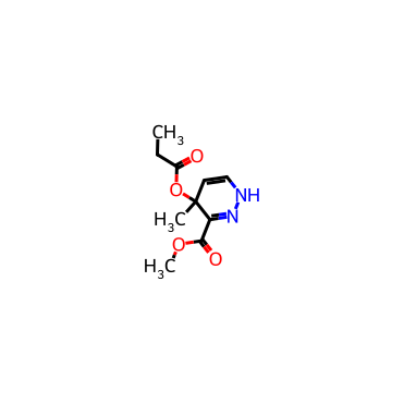 CCC(=O)OC1(C)C=CNN=C1C(=O)OC